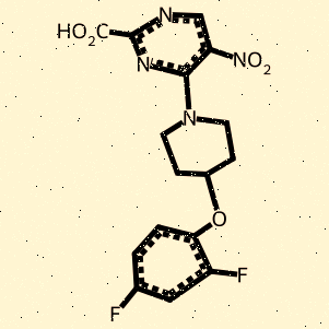 O=C(O)c1ncc([N+](=O)[O-])c(N2CCC(Oc3ccc(F)cc3F)CC2)n1